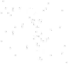 Cc1nc(-c2cccc(F)c2)ncc1OC(=O)Nn1cc(C)c2cnccc21